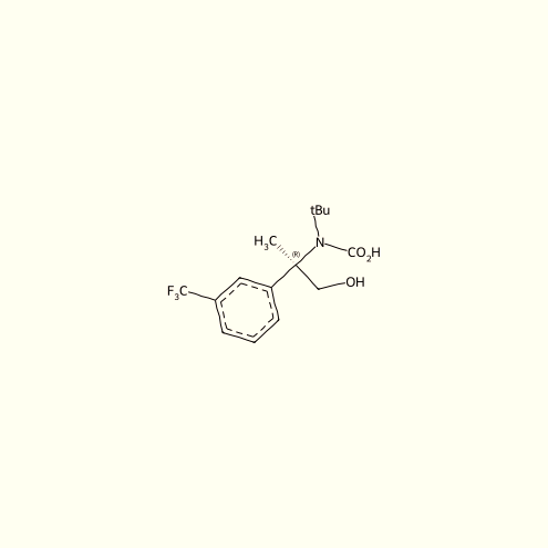 CC(C)(C)N(C(=O)O)[C@@](C)(CO)c1cccc(C(F)(F)F)c1